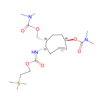 CN(C)C(=O)OC[C@@H]1CC[C@@H](OC(=O)N(C)C)/C=C/C[C@@H]1NC(=O)OCCS(C)(C)C